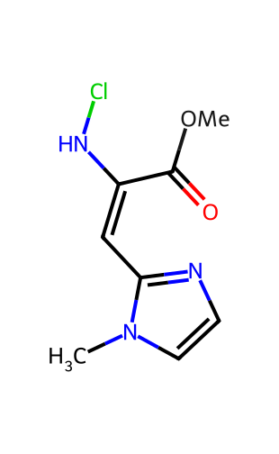 COC(=O)/C(=C\c1nccn1C)NCl